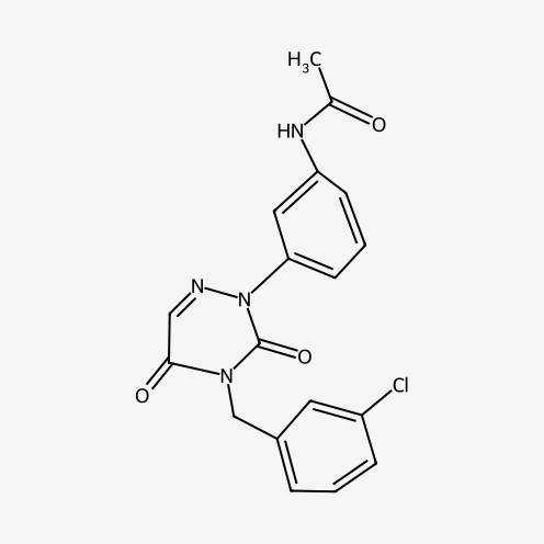 CC(=O)Nc1cccc(-n2ncc(=O)n(Cc3cccc(Cl)c3)c2=O)c1